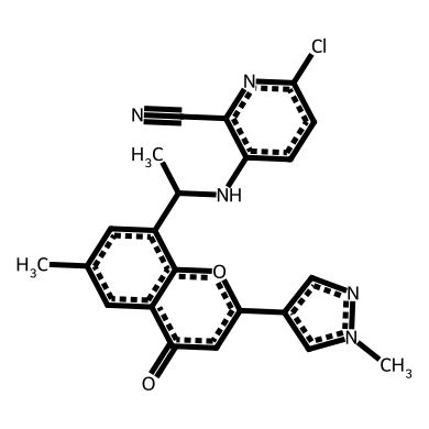 Cc1cc(C(C)Nc2ccc(Cl)nc2C#N)c2oc(-c3cnn(C)c3)cc(=O)c2c1